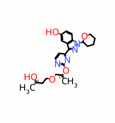 C[C@@H](O)CCOC[C@H](C)Oc1nccc(-c2nn(C3CCCCO3)c3ccc(O)cc23)n1